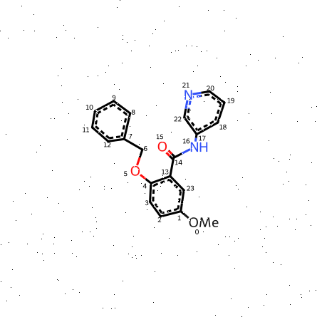 COc1ccc(OCc2ccccc2)c(C(=O)Nc2cccnc2)c1